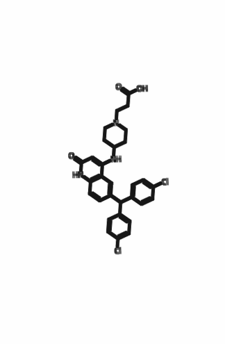 O=C(O)CCN1CCC(Nc2cc(=O)[nH]c3ccc(C(c4ccc(Cl)cc4)c4ccc(Cl)cc4)cc23)CC1